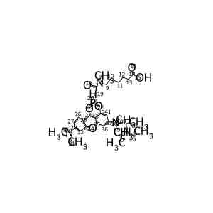 CCN(CC)CC.CN(CCCCCC(=O)O)C(=O)CC[PH](=O)OC1c2ccc(N(C)C)cc2Oc2cc(N(C)C)ccc21